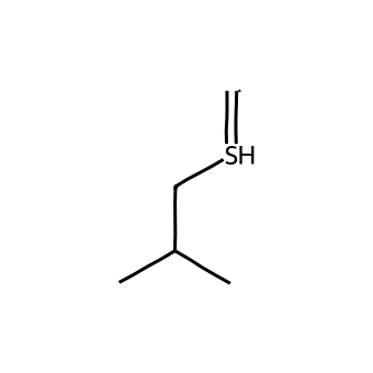 [CH]=[SH]CC(C)C